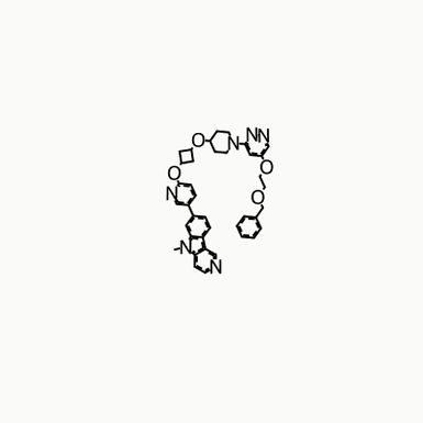 Cn1c2ccncc2c2ccc(-c3ccc(O[C@H]4C[C@H](OC5CCN(c6cc(OCCOCc7ccccc7)cnn6)CC5)C4)nc3)cc21